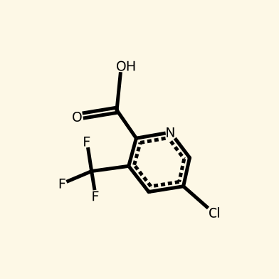 O=C(O)c1ncc(Cl)cc1C(F)(F)F